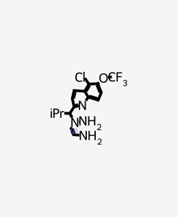 CC(C)C(c1ccc2c(Cl)c(OC(F)(F)F)ccc2n1)N(N)/C=C\N